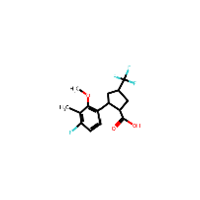 COc1c(C2CC(C(F)(F)F)CC2C(=O)O)ccc(F)c1C